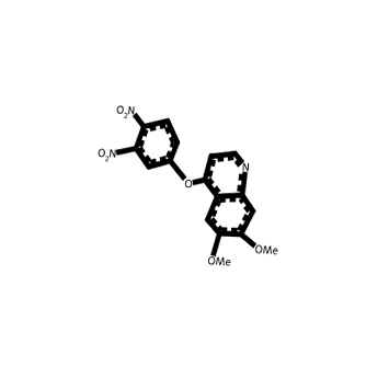 COc1cc2nccc(Oc3ccc([N+](=O)[O-])c([N+](=O)[O-])c3)c2cc1OC